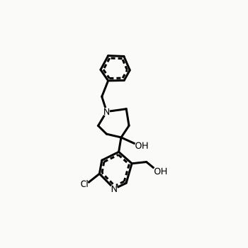 OCc1cnc(Cl)cc1C1(O)CCN(Cc2ccccc2)CC1